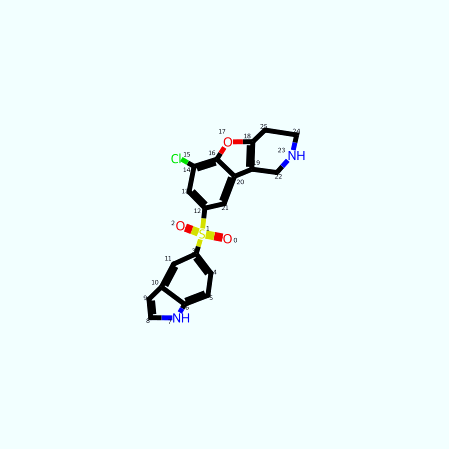 O=S(=O)(c1ccc2[nH]ccc2c1)c1cc(Cl)c2oc3c(c2c1)CNCC3